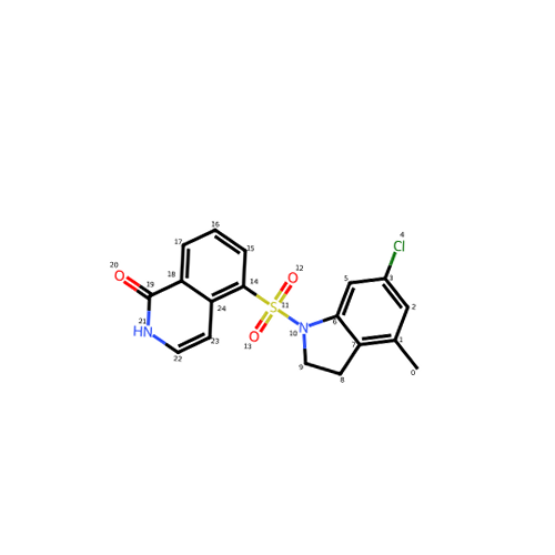 Cc1cc(Cl)cc2c1CCN2S(=O)(=O)c1cccc2c(=O)[nH]ccc12